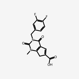 Cn1c2c(c(=O)n(Cc3ccc(F)c(F)c3)c1=O)C=C(C(=O)O)C2